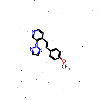 FC(F)(F)Oc1ccc(/C=C/c2ccncc2-n2nccn2)cc1